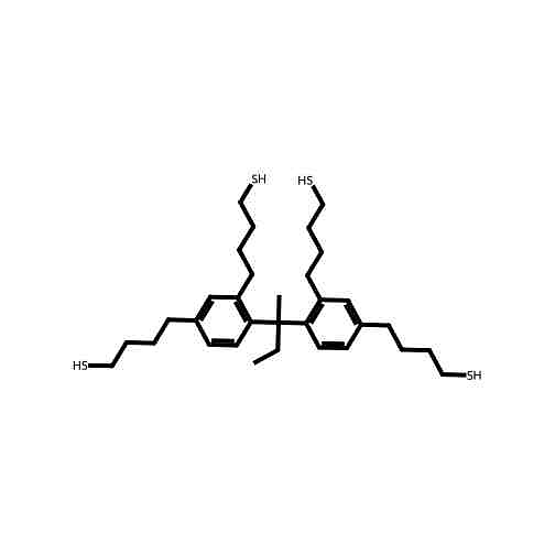 CCC(C)(c1ccc(CCCCS)cc1CCCCS)c1ccc(CCCCS)cc1CCCCS